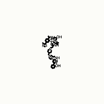 Cc1ncsc1-c1ccc(C(C)NC(=O)[C@@H]2C[C@@H](O)CN2C(=O)C(NC(=O)CCN2CCC(CN3CCN4c5cc(-c6ccccc6O)nnc5NCC4C3)CC2)C(C)(C)C)cc1